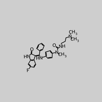 CN(C)CCCNC(=O)N(C)c1ccc(NC(=C2C(=O)Nc3cc(F)ccc32)c2ccccc2)cc1